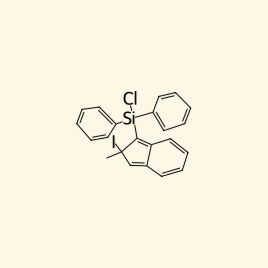 CC1(I)C=c2ccccc2=C1[Si](Cl)(c1ccccc1)c1ccccc1